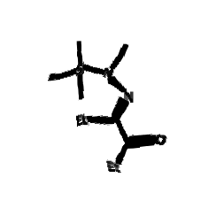 CCC(=O)/C(CC)=N/N(C)[Si](C)(C)C